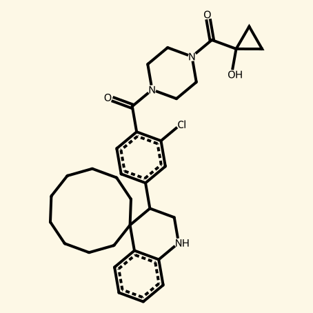 O=C(c1ccc(C2CNc3ccccc3C23CCCCCCCCC3)cc1Cl)N1CCN(C(=O)C2(O)CC2)CC1